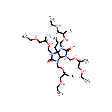 CCCC12C(N(COC(C)COCC)C(=O)N1COC(C)COCC)N(COC(C)COCC)C(=O)N2COC(C)COCC